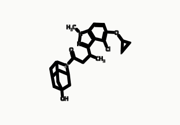 CC(CC(=O)N1C2CC3CC1CC(O)(C3)C2)c1nn(C)c2ccc(OC3CC3)c(Cl)c12